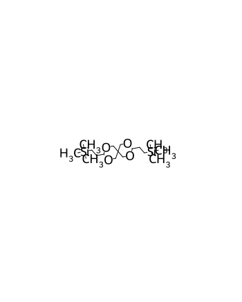 C[Si](C)(C)CCC1OCC2(CO1)COC(CC[Si](C)(C)C)OC2